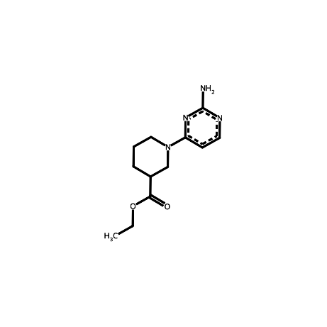 CCOC(=O)C1CCCN(c2ccnc(N)n2)C1